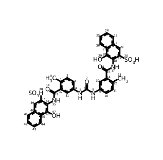 Cc1ccc(NC(=O)Nc2ccc(C)c(C(=O)Nc3c(S(=O)(=O)O)cc4ccccc4c3O)c2)cc1C(=O)Nc1c(S(=O)(=O)O)cc2ccccc2c1O